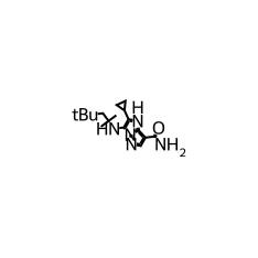 CC(C)(C)CC(C)(C)Nc1c(C2CC2)[nH]c2c(C(N)=O)cnn12